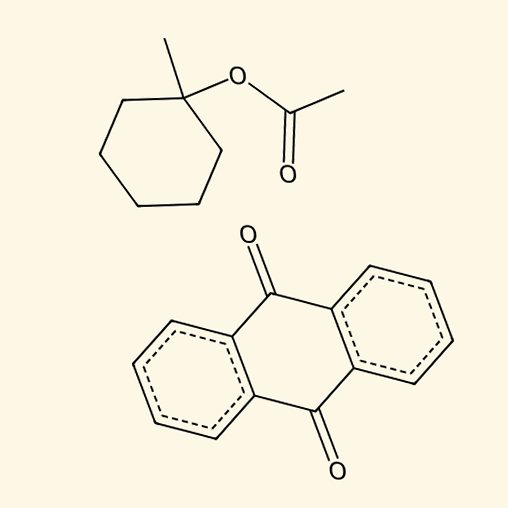 CC(=O)OC1(C)CCCCC1.O=C1c2ccccc2C(=O)c2ccccc21